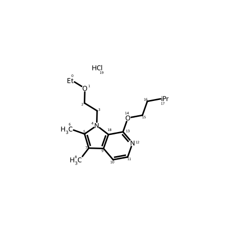 CCOCCn1c(C)c(C)c2ccnc(OCCC(C)C)c21.Cl